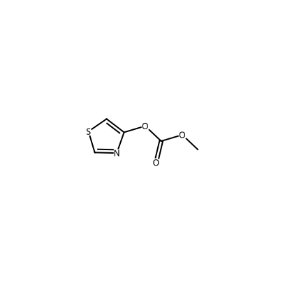 COC(=O)Oc1cscn1